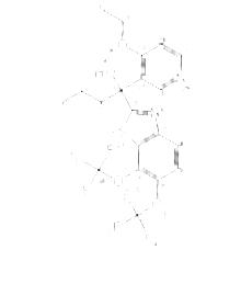 CCCC(O)(c1nc2ccc(OC(F)(F)F)c(OC(F)(F)F)c2s1)c1cnccc1OCC